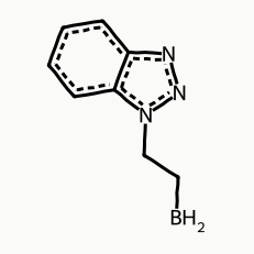 BCCn1nnc2ccccc21